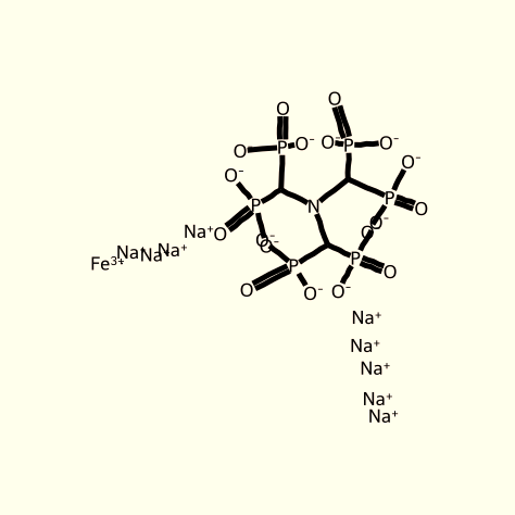 O=P([O-])([O-])C(N(C(P(=O)([O-])[O-])P(=O)([O-])[O-])C(P(=O)([O-])[O-])P(=O)([O-])[O-])P(=O)([O-])[O-].[Fe+3].[Na+].[Na+].[Na+].[Na+].[Na+].[Na+].[Na+].[Na+].[Na+]